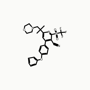 CC(C)(CN1CCOCC1)c1cc(-c2ccc(Oc3ccccc3)cc2)c(C#N)c(S(=O)(=O)C(F)(F)F)n1